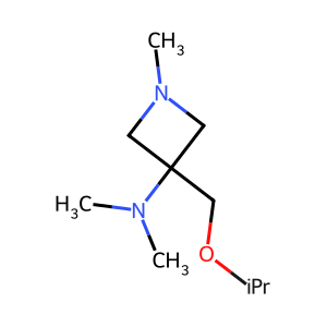 CC(C)OCC1(N(C)C)CN(C)C1